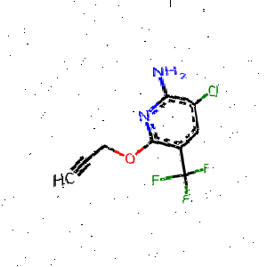 C#CCOc1nc(N)c(Cl)cc1C(F)(F)F